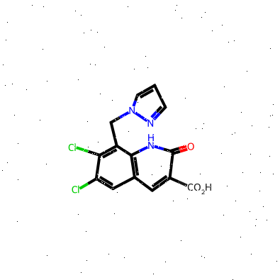 O=C(O)c1cc2cc(Cl)c(Cl)c(Cn3cccn3)c2[nH]c1=O